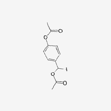 CC(=O)Oc1ccc(C(I)OC(C)=O)cc1